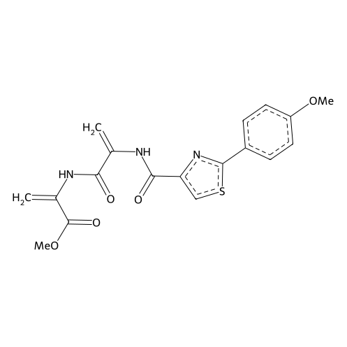 C=C(NC(=O)c1csc(-c2ccc(OC)cc2)n1)C(=O)NC(=C)C(=O)OC